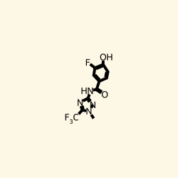 Cn1nc(NC(=O)c2ccc(O)c(F)c2)nc1C(F)(F)F